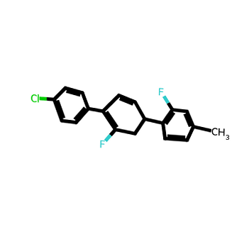 Cc1ccc(C2C=CC(c3ccc(Cl)cc3)=C(F)C2)c(F)c1